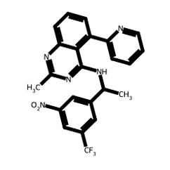 Cc1nc(NC(C)c2cc([N+](=O)[O-])cc(C(F)(F)F)c2)c2c(-c3ccccn3)cccc2n1